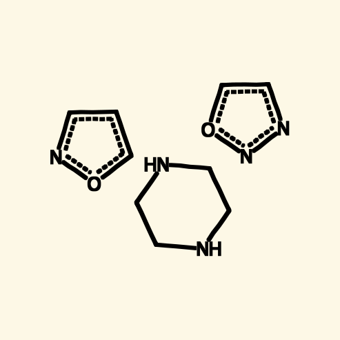 C1CNCCN1.c1cnoc1.c1conn1